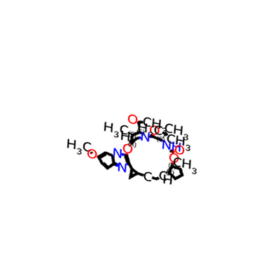 COc1ccc2nc3c(nc2c1)O[C@H]1CN(C(=O)[C@H](C(C)(C)C)NC(=O)O[C@]2(C)CCC[C@H]2CCCC2CC32)[C@H](C(C)=O)[C@@H]1C